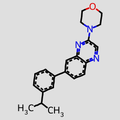 CC(C)c1cccc(-c2ccc3ncc(N4CCOCC4)nc3c2)c1